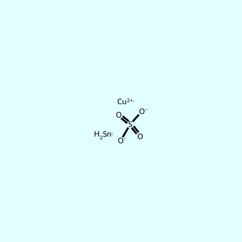 O=S(=O)([O-])[O-].[Cu+2].[SnH2]